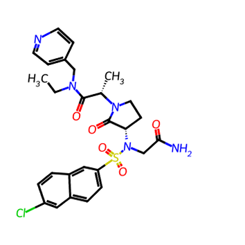 CCN(Cc1ccncc1)C(=O)[C@H](C)N1CC[C@H](N(CC(N)=O)S(=O)(=O)c2ccc3cc(Cl)ccc3c2)C1=O